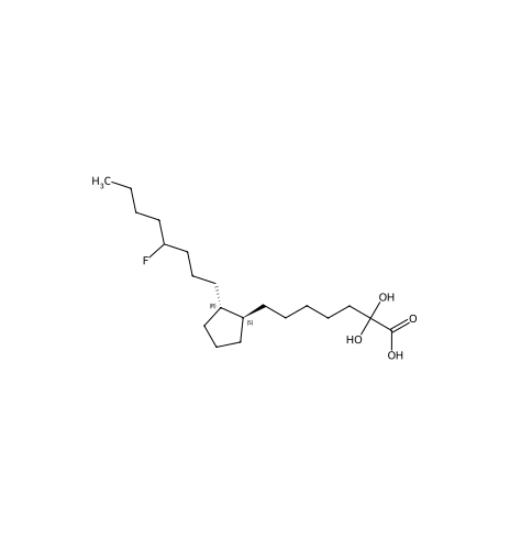 CCCCC(F)CCC[C@H]1CCC[C@@H]1CCCCCC(O)(O)C(=O)O